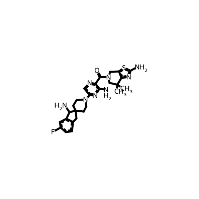 CC1(C)CN(C(=O)c2ncc(N3CCC4(CC3)Cc3ccc(F)cc3C4N)nc2N)Cc2sc(N)nc21